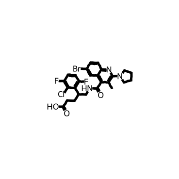 Cc1c(N2CCCC2)nc2ccc(Br)cc2c1C(=O)NCC(CCC(=O)O)c1c(F)ccc(F)c1Cl